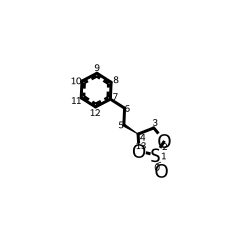 O=S1OC[C@H](CCc2ccccc2)O1